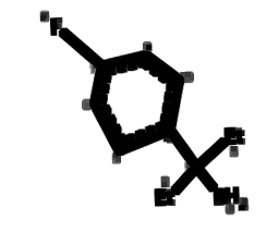 BC(CC)(CC)c1ccc(F)cc1